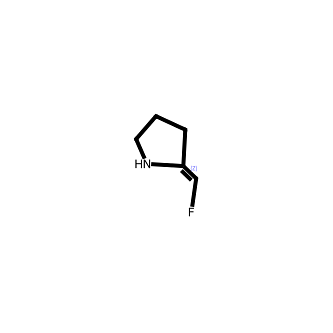 F/C=C1/CCCN1